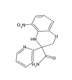 NC(=O)C1(c2ccccn2)COc2cccc([N+](=O)[O-])c2N1